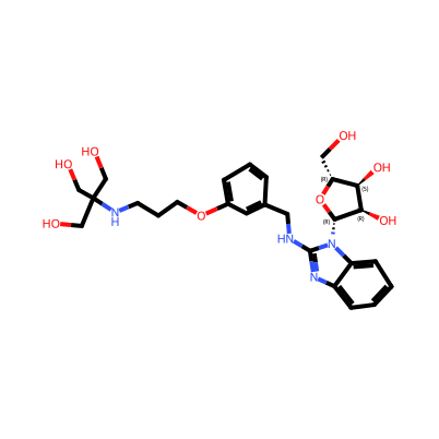 OC[C@H]1O[C@@H](n2c(NCc3cccc(OCCCNC(CO)(CO)CO)c3)nc3ccccc32)[C@H](O)[C@@H]1O